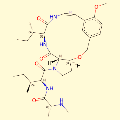 CC[C@H](C)[C@@H]1NC(=O)[C@@H]2[C@H](CCN2C(=O)[C@@H](NC(=O)[C@@H](C)NC)[C@@H](C)CC)OCc2ccc(OC)c(c2)/C=C\NC1=O